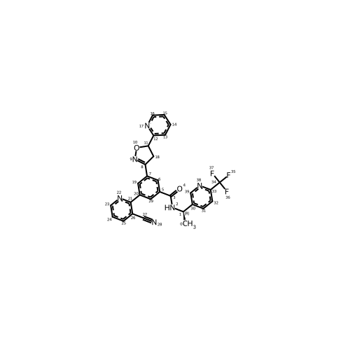 C[C@@H](NC(=O)c1cc(C2=NOC(c3ccccn3)C2)cc(-c2ncccc2C#N)c1)c1ccc(C(F)(F)F)nc1